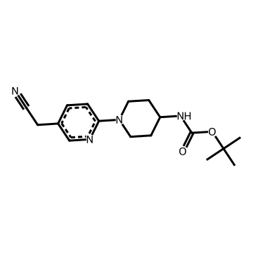 CC(C)(C)OC(=O)NC1CCN(c2ccc(CC#N)cn2)CC1